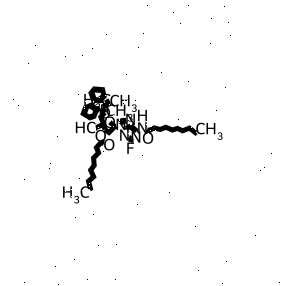 C#CC1(CO[Si](c2ccccc2)(c2ccccc2)C(C)(C)C)OC(n2cnc3c(NC(=O)CCCCCCCCC)nc(F)nc32)CC1OC(=O)CCCCCCCCC